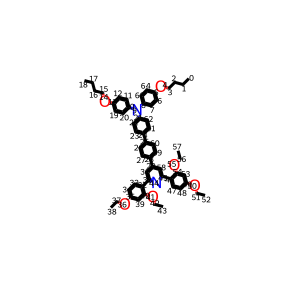 CCCCOc1ccc(N(c2ccc(OCCCC)cc2)c2ccc(-c3ccc(-c4cc(-c5ccc(OCC)cc5OCC)nc(-c5ccc(OCC)cc5OCC)c4)cc3)cc2)cc1